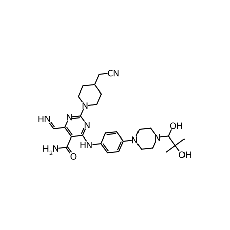 CC(C)(O)C(O)N1CCN(c2ccc(Nc3nc(N4CCC(CC#N)CC4)nc(C=N)c3C(N)=O)cc2)CC1